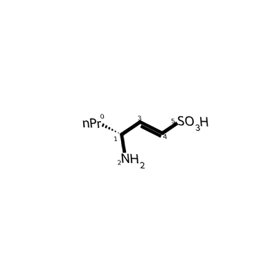 CCC[C@@H](N)/C=C/S(=O)(=O)O